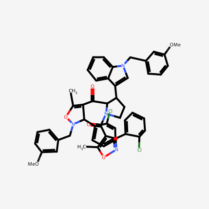 COc1cccc(CN2OC(C)=C(C(=O)C3C(c4cn(Cc5cccc(OC)c5)c5ccccc45)CCN3C(=O)c3c(-c4ccccc4Cl)noc3C)C2c2ccccc2Cl)c1